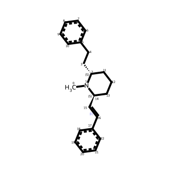 CN1[C@H](CCc2ccccc2)CCC[C@H]1/C=C/c1ccccc1